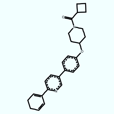 O=C(C1CCC1)N1CCC(Oc2ccc(-c3ccc(C4=CCCC=C4)nc3)cc2)CC1